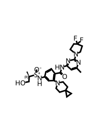 Cc1cc(NC(=O)c2ccc(N[S+]([O-])[C@H](C)CO)cc2N2CCC3(CC2)CC3)nc(N2CCC(F)(F)CC2)n1